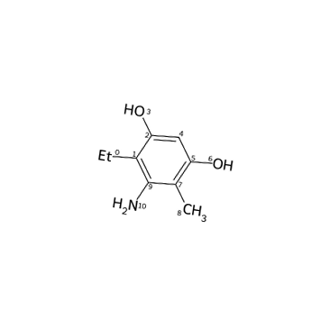 CCc1c(O)cc(O)c(C)c1N